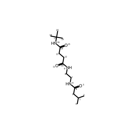 CC(C)CC(=O)NCCNC(=O)CCC(=O)NC(C)(C)C